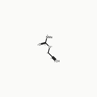 C#CCOC(=O)N[CH2]